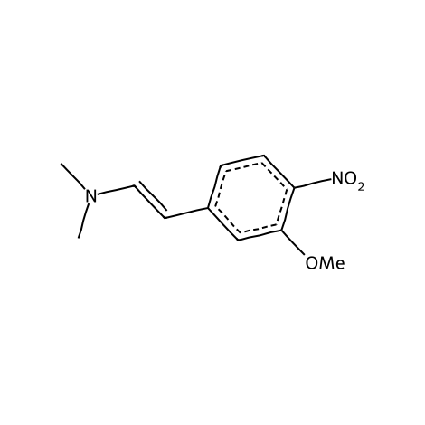 COc1cc(/C=C/N(C)C)ccc1[N+](=O)[O-]